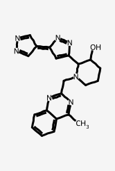 Cc1nc(CN2CCCC(O)C2C2=CC(=C3C=NN=C3)N=N2)nc2ccccc12